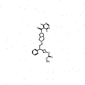 Cc1ncnc(C)c1C(=O)N1CC2CN(CCC(c3ccccc3)C3CN(OC(=O)OC(C)(C)C)C3)CC2C1